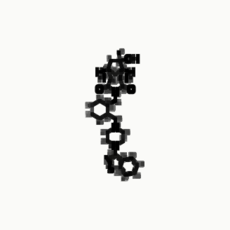 C[C@]1(O)C[C@@H]2C[C@H]1[C@H]1C(=O)N(C[C@@H]3CCCCC3CN3CCN(c4nsc5ccccc45)CC3)C(=O)[C@@H]21